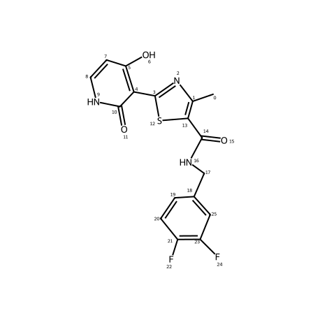 Cc1nc(-c2c(O)cc[nH]c2=O)sc1C(=O)NCc1ccc(F)c(F)c1